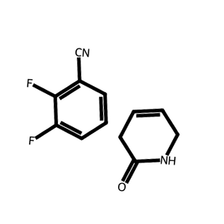 N#Cc1cccc(F)c1F.O=C1CC=CCN1